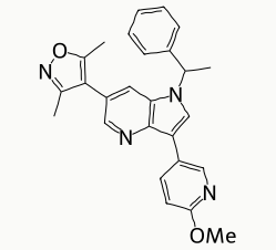 COc1ccc(-c2cn(C(C)c3ccccc3)c3cc(-c4c(C)noc4C)cnc23)cn1